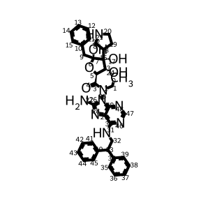 CCN(C(=O)[C@H]1O[C@](O)(Cc2ccccc2)[C@@](O)(C2CCNC2)[C@@H]1O)n1c(N)nc2c(NCC(c3ccccc3)c3ccccc3)ncnc21